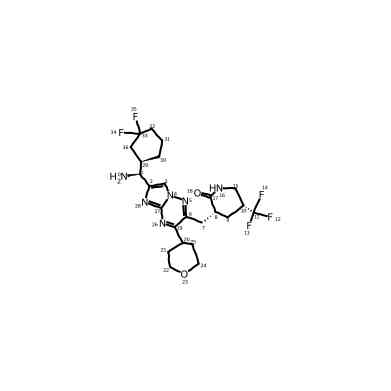 N[C@H](c1cn2nc(C[C@H]3C[C@@H](C(F)(F)F)CNC3=O)c(C3CCOCC3)nc2n1)[C@@H]1CCCC(F)(F)C1